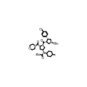 CCC(C)C(=O)N(C1CCC(C)CC1)[C@H]1C[C@@H](C(=O)N2CCOCC2)N(C(=O)[C@@H]2CN(C(C)(C)C)C[C@H]2c2ccc(Cl)cc2)C1